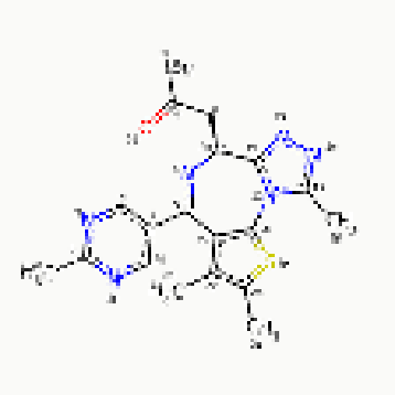 Cc1ncc(C2=N[C@@H](CC(=O)C(C)(C)C)c3nnc(C)n3-c3sc(C)c(C)c32)cn1